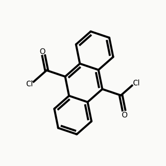 O=C(Cl)c1c2ccccc2c(C(=O)Cl)c2ccccc12